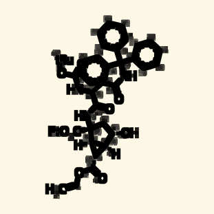 C=COC(=O)[C@H]1[C@H]2[C@@H]1[C@@](NC(=O)[C@H](CC(=O)NC(c1ccccc1)(c1ccccc1)c1ccccc1)NC(=O)OC(C)(C)C)(C(=O)OCC)C[C@@H]2O